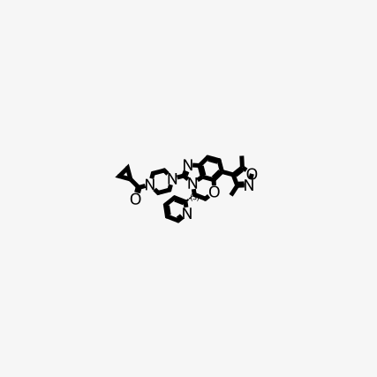 Cc1noc(C)c1-c1ccc2nc(N3CCN(C(=O)C4CC4)CC3)n3c2c1OC[C@@H]3c1ccccn1